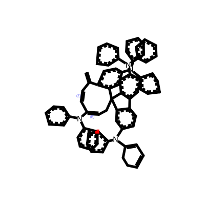 C=C1/C=C\C(N(c2ccccc2)c2ccccc2)=C/CC2(c3cc(N(c4ccccc4)c4ccccc4)ccc31)c1cc(N(C3=CC=CCC3)c3ccccc3)ccc1-c1ccc(N(c3ccccc3)c3ccccc3)cc12